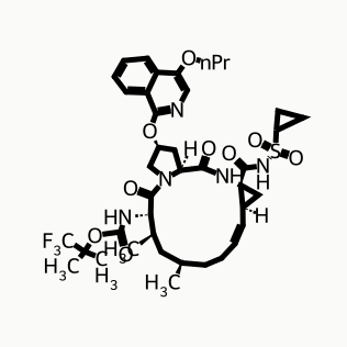 CCCOc1cnc(O[C@@H]2C[C@H]3C(=O)N[C@]4(C(=O)NS(=O)(=O)C5CC5)C[C@H]4/C=C\CC[C@@H](C)C[C@@H](C)[C@H](NC(=O)OC(C)(C)C(F)(F)F)C(=O)N3C2)c2ccccc12